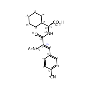 CC(=O)N/C(=C\c1ccc(C#N)cc1)C(=O)N[C@H](C(=O)O)C1CCCCC1